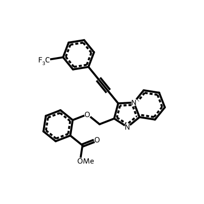 COC(=O)c1ccccc1OCc1nc2ccccn2c1C#Cc1cccc(C(F)(F)F)c1